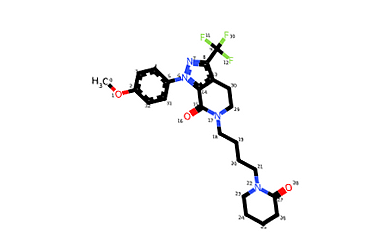 COc1ccc(-n2nc(C(F)(F)F)c3c2C(=O)N(CCCCN2CCCCC2=O)CC3)cc1